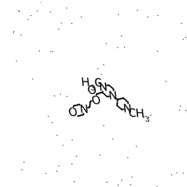 CN1CCC(N2CCN(C)C(C(=O)OCCN3CCOCC3)C2)CC1